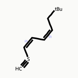 C#S/C=C\C=C/CC(C)(C)C